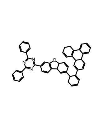 C1=CCC(C2=CC3c4ccc(-c5nc(-c6ccccc6)nc(-c6ccccc6)n5)cc4OC3C=C2)C(C2=CC3C4=C(CCC=C4)c4ccccc4C3C=C2)=C1